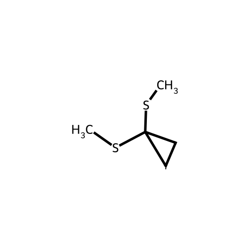 CSC1(SC)[CH]C1